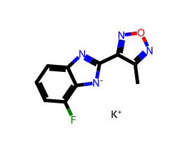 Cc1nonc1-c1nc2cccc(F)c2[n-]1.[K+]